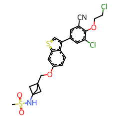 CS(=O)(=O)NC12CC(COc3ccc4c(-c5cc(Cl)c(OCCCl)c(C#N)c5)csc4c3)(C1)C2